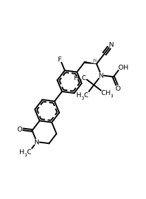 CN1CCc2cc(-c3ccc(C[C@@H](C#N)N(C(=O)O)C(C)(C)C)c(F)c3)ccc2C1=O